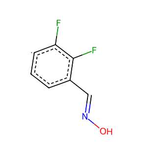 ON=Cc1cc[c]c(F)c1F